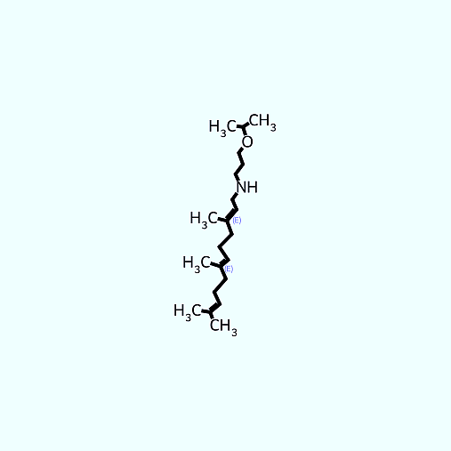 CC(C)=CCC/C(C)=C/CC/C(C)=C/CNCCCOC(C)C